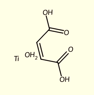 O.O=C(O)/C=C\C(=O)O.[Ti]